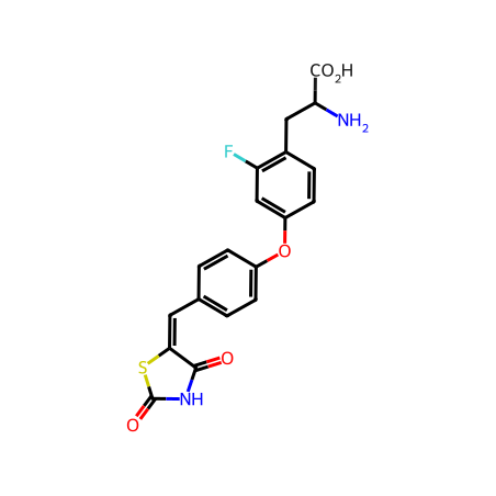 NC(Cc1ccc(Oc2ccc(/C=C3/SC(=O)NC3=O)cc2)cc1F)C(=O)O